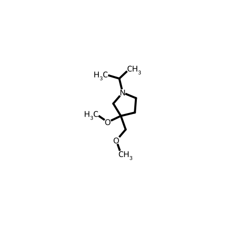 COCC1(OC)CCN(C(C)C)C1